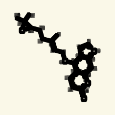 C/C(=C\COc1c2ccoc2cc2oc(=O)ccc12)CCC1OC1(C)C